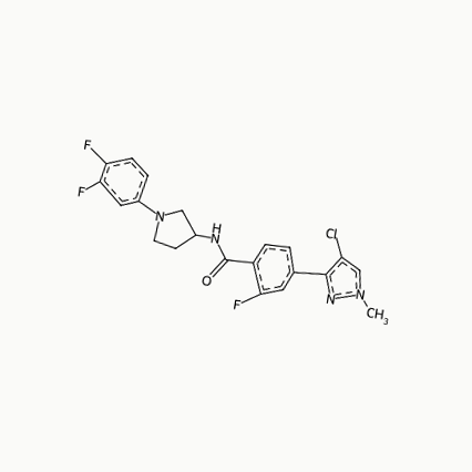 Cn1cc(Cl)c(-c2ccc(C(=O)NC3CCN(c4ccc(F)c(F)c4)C3)c(F)c2)n1